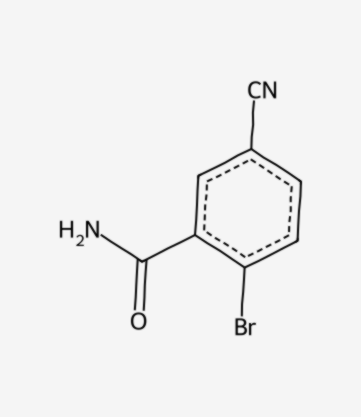 N#Cc1ccc(Br)c(C(N)=O)c1